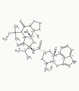 CCC(C)(C)C1C(=O)N2CCC[C@H]2[C@]2(O)O[C@](NC(=O)[C@@H]3C[C@@H]4c5cccc6[nH]cc(c56)C[C@H]4N(C)C3)(C(C)C)C(=O)N12